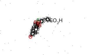 C[C@H]1C[C@@]2(C)[C@@H](C[C@H]3O[C@H](c4ccc(Cc5ccc(C(=O)O)cc5)cc4F)O[C@]32C(=O)CO)[C@@H]2CCC3=CC(=O)C=C[C@]3(C)[C@H]21